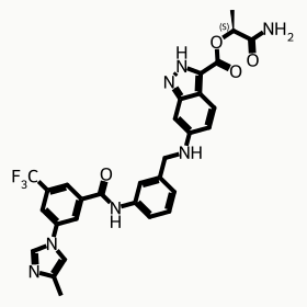 Cc1cn(-c2cc(C(=O)Nc3cccc(CNc4ccc5c(C(=O)O[C@@H](C)C(N)=O)[nH]nc5c4)c3)cc(C(F)(F)F)c2)cn1